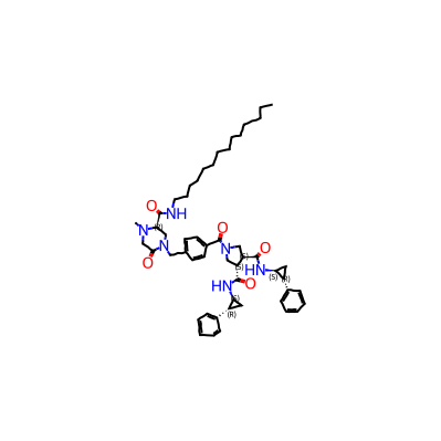 CCCCCCCCCCCCCCNC(=O)[C@H]1CN(Cc2ccc(C(=O)N3C[C@@H](C(=O)N[C@H]4C[C@@H]4c4ccccc4)[C@H](C(=O)N[C@H]4C[C@@H]4c4ccccc4)C3)cc2)C(=O)CN1C